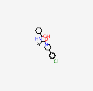 CC(C)C(NC(O)C1CCCCC1)C(=O)N1CCC(c2ccc(Cl)cc2)CC1